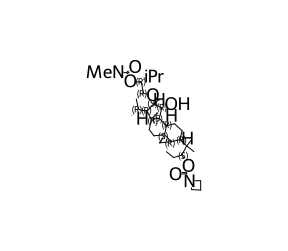 CNC(=O)O[C@H](C(C)C)[C@H]1C[C@@H](C)[C@H]2[C@H](O1)[C@H](O)[C@@]1(C)[C@@H]3CC[C@H]4C(C)(C)[C@@H](OC(=O)N5CCC5)CC[C@@]45C[C@@]35CC[C@]21C